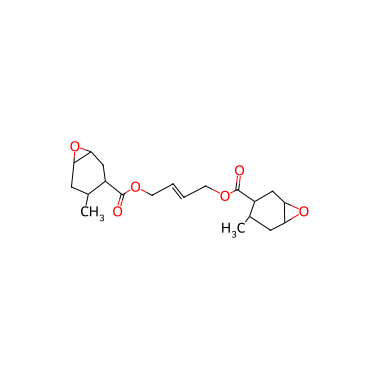 CC1CC2OC2CC1C(=O)OCC=CCOC(=O)C1CC2OC2CC1C